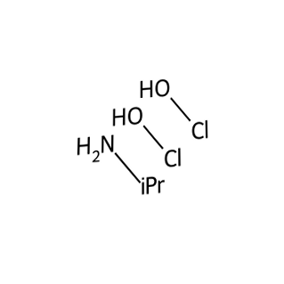 CC(C)N.OCl.OCl